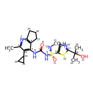 Cc1nc2c(c(NC(=O)NS(=O)(=NC(=O)O)c3cnc(C(C)(C)O)s3)c1C1CC1)CCC2